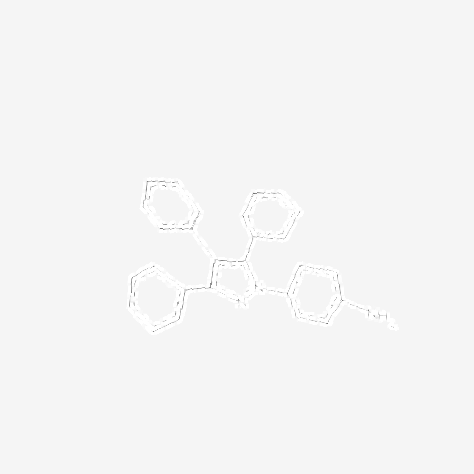 Nc1ccc(-n2nc(-c3ccccc3)c(-c3ccccc3)c2-c2ccccc2)cc1